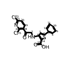 O=C(CNc1cc(-c2ccccc2)sc1C(=O)O)c1ccc(Cl)nc1Cl